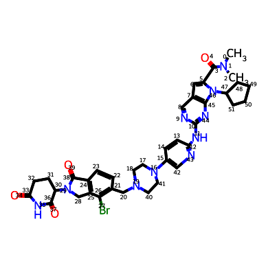 CN(C)C(=O)c1cc2cnc(Nc3ccc(N4CCN(Cc5ccc6c(c5Br)CN(C5CCC(=O)NC5=O)C6=O)CC4)cn3)nc2n1C1CCCC1